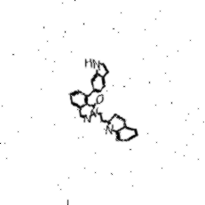 O=c1c2c(-c3ccc4cc[nH]c4c3)cccc2cnn1CCc1ccc2ccccc2n1